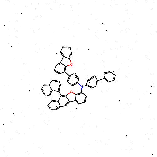 c1ccc(-c2ccc(N(c3ccc(-c4cccc5c4oc4ccccc45)cc3)c3cccc4c3oc3c(-c5cccc6ccccc56)c5ccccc5cc34)cc2)cc1